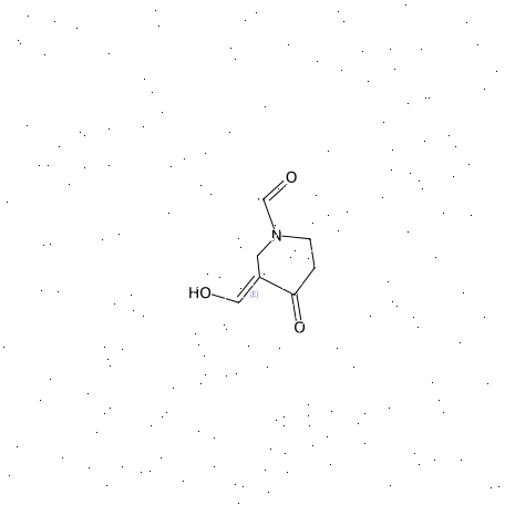 O=[C]N1CCC(=O)/C(=C/O)C1